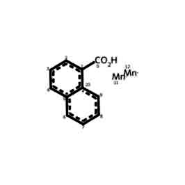 O=C(O)c1cccc2ccccc12.[Mn].[Mn]